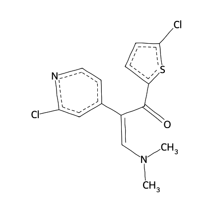 CN(C)C=C(C(=O)c1ccc(Cl)s1)c1ccnc(Cl)c1